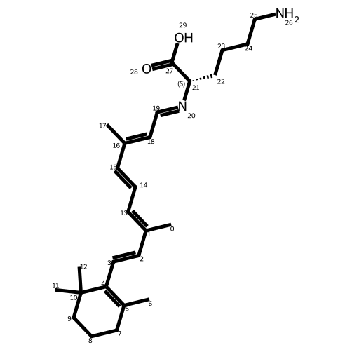 CC(C=CC1=C(C)CCCC1(C)C)=CC=CC(C)=CC=N[C@@H](CCCCN)C(=O)O